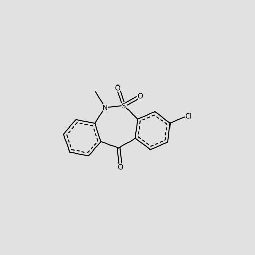 CN1c2ccccc2C(=O)c2ccc(Cl)cc2S1(=O)=O